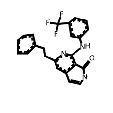 O=C1[N]C=Cc2cc(CCc3ccccc3)nc(Nc3cccc(C(F)(F)F)c3)c21